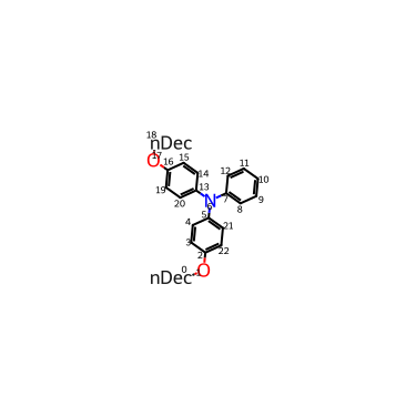 CCCCCCCCCCOc1ccc(N(c2ccccc2)c2ccc(OCCCCCCCCCC)cc2)cc1